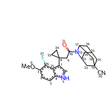 COc1ccc2[nH]cc(C3(CC(=O)N4C5CC6CC4CC(C#N)(C6)C5)CC3)c2c1F